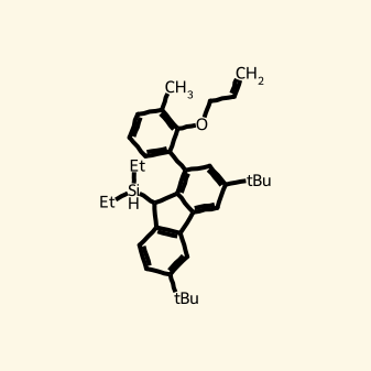 C=CCOc1c(C)cccc1-c1cc(C(C)(C)C)cc2c1C([SiH](CC)CC)c1ccc(C(C)(C)C)cc1-2